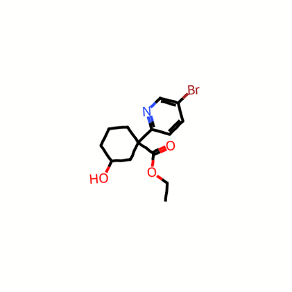 CCOC(=O)C1(c2ccc(Br)cn2)CCCC(O)C1